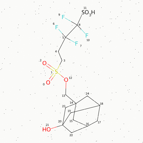 O=S(=O)(CCC(F)(F)C(F)(F)S(=O)(=O)O)OCC12CC3CC(CC(O)(C3)C1)C2